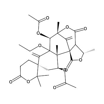 C=C1C2(OCC)[C@@H](OC(C)=O)[C@]3(C)OC(=O)C4[C@H](C)OC(=O)[C@]4(C3=C)[C@]2(C)[C@@H](OC(C)=O)C[C@]12CCC(=O)OC2(C)C